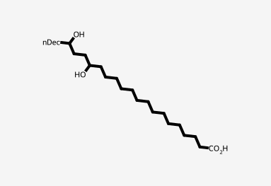 CCCCCCCCCCC(O)CCC(O)CCCCCCCCCCCCCCC(=O)O